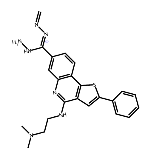 C=N/N=C(\NN)c1ccc2c(c1)nc(NCCN(C)C)c1cc(-c3ccccc3)sc12